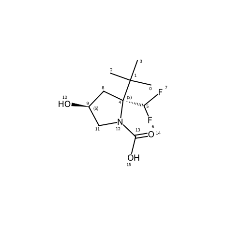 CC(C)(C)[C@]1(C(F)F)C[C@H](O)CN1C(=O)O